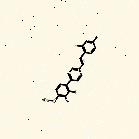 CCCCOc1ccc(-c2ccc(/C=C/c3ccc(C)cc3F)cc2)c(F)c1F